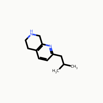 CC(C)Cc1ccc2c(n1)CNCC2